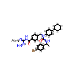 CN/N=C(\N=N)NC(=O)c1ccc(CN(C(=O)NC(C)c2ccc(Br)cc2)c2ccc(C3CCCCC3)cc2)cc1